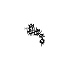 Cn1nccc1Nc1nccc(-c2ccn3c(-c4ccn(-c5ccc(F)cc5)n4)nnc3c2)n1